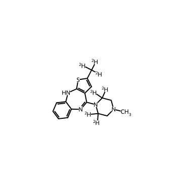 [2H]C([2H])([2H])c1cc2c(s1)Nc1ccccc1N=C2N1C([2H])([2H])CN(C)CC1([2H])[2H]